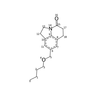 CCCCOCc1cc2c3c(c1)CCN3C(=O)CC2